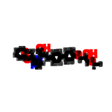 CCOCC(O)COc1ccc(-c2ccc(/C=C/[C@@H](CO)n3ccnc3[C@H](C)OC3CCCCO3)cc2)cc1